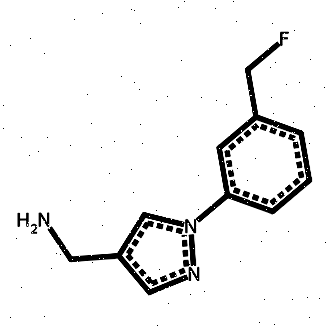 NCc1cnn(-c2cccc(CF)c2)c1